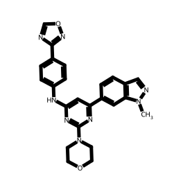 Cn1ncc2ccc(-c3cc(Nc4ccc(-c5ncon5)cc4)nc(N4CCOCC4)n3)cc21